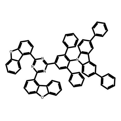 c1ccc(-c2ccc3c(c2)c2cc(-c4ccccc4)ccc2n3-c2c(-c3ccccc3)cc(-c3nc(-c4cccc5oc6ccccc6c45)nc(-c4cccc5oc6ccccc6c45)n3)cc2-c2ccccc2)cc1